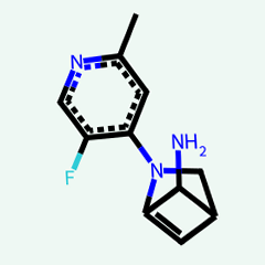 Cc1cc(N2CC3C=C2C3N)c(F)cn1